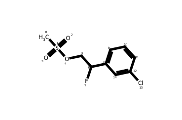 CS(=O)(=O)OCC(F)c1cccc(Cl)c1